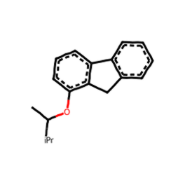 CC(C)C(C)Oc1cccc2c1Cc1ccccc1-2